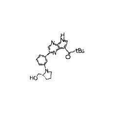 CC(C)(C)C(=O)c1c[nH]c2ncc(-c3cccc(N4CCCC4CO)c3)nc12